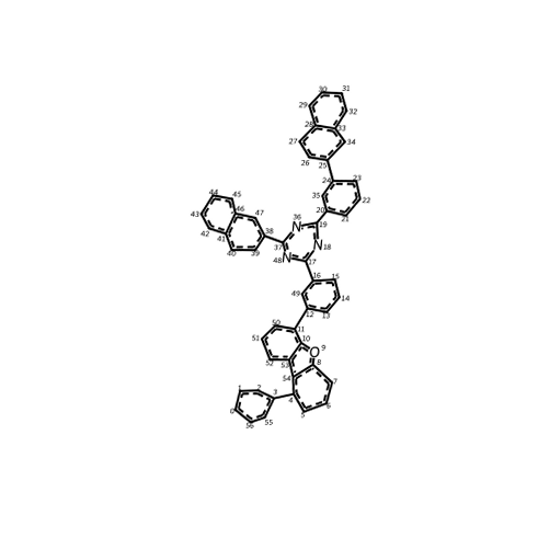 c1ccc(-c2cccc3oc4c(-c5cccc(-c6nc(-c7cccc(-c8ccc9ccccc9c8)c7)nc(-c7ccc8ccccc8c7)n6)c5)cccc4c23)cc1